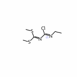 CC/N=C(\Cl)N=C(SC)SC